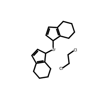 C1=C[CH]([Zr][CH]2C=CC3=C2CCCC3)C2=C1CCCC2.ClCCCl